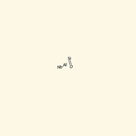 O=[Si].[Al].[Nb]